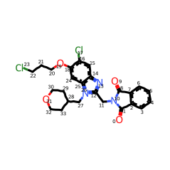 O=C1c2ccccc2C(=O)N1Cc1nc2cc(Cl)c(OCCCCl)cc2n1CC1CCOCC1